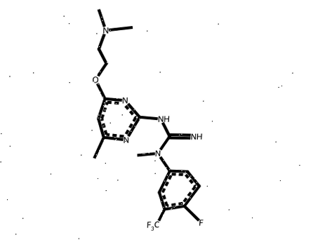 Cc1cc(OCCN(C)C)nc(NC(=N)N(C)c2ccc(F)c(C(F)(F)F)c2)n1